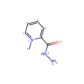 C[n+]1ccccc1C(=O)NN